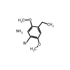 CCc1cc(OC)c(Br)cc1OC.N